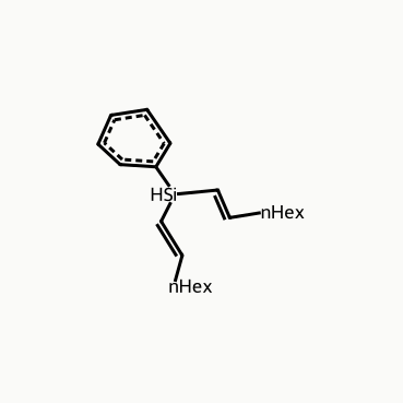 CCCCCCC=C[SiH](C=CCCCCCC)c1ccccc1